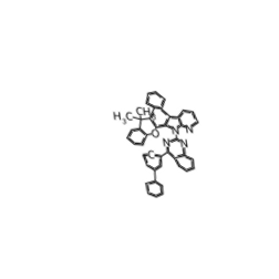 CC1(C)c2ccccc2Oc2c1c1ccccc1c1c3cccnc3n(-c3nc(-c4cccc(-c5ccccc5)c4)c4ccccc4n3)c21